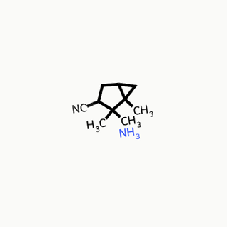 CC1(C)C(C#N)CC2CC21C.N